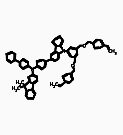 C=Cc1ccc(COCc2cc(COCc3ccc(C=C)cc3)cc(-n3c4ccccc4c4cc(-c5ccc(N(c6ccc(-c7ccccc7)cc6)c6ccc7c(c6)C(C)(C)c6ccccc6-7)cc5)ccc43)c2)cc1